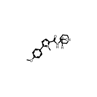 COc1ccc(-c2ccc(C(=O)N[C@H]3CN4CCC3CC4)n2C)cc1